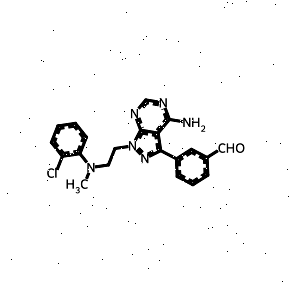 CN(CCn1nc(-c2cccc(C=O)c2)c2c(N)ncnc21)c1ccccc1Cl